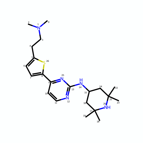 CN(C)CCc1ccc(-c2ccnc(NC3CC(C)(C)NC(C)(C)C3)n2)s1